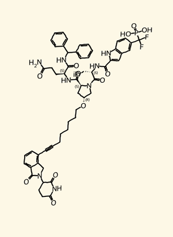 CC(C)C[C@H](NC(=O)c1cc2cc(C(F)(F)P(=O)(O)O)ccc2[nH]1)C(=O)N1C[C@H](OCCCCCCC#Cc2cccc3c2CN(C2CCC(=O)NC2=O)C3=O)C[C@H]1C(=O)N[C@@H](CCC(N)=O)C(=O)NC(c1ccccc1)c1ccccc1